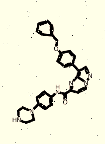 O=C(Nc1ccc(N2CCNCC2)cc1)c1ccn2ncc(-c3ccc(OCc4ccccc4)cc3)c2n1